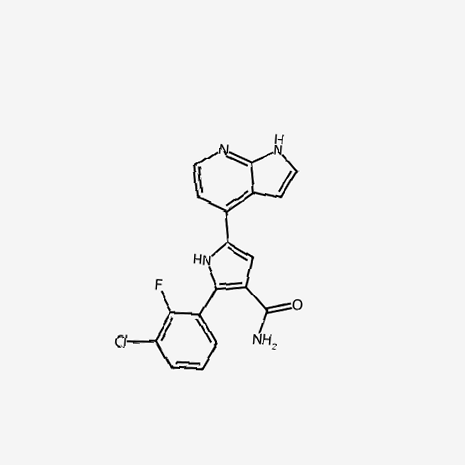 NC(=O)c1cc(-c2ccnc3[nH]ccc23)[nH]c1-c1cccc(Cl)c1F